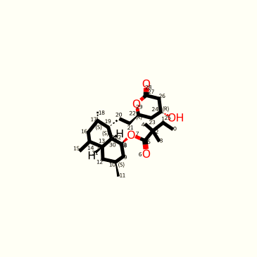 CCC(C)(C)C(=O)O[C@H]1C[C@@H](C)C[C@@H]2C(C)C[C@H](C)[C@H](CC[C@@H]3C[C@@H](O)CC(=O)O3)[C@@H]12